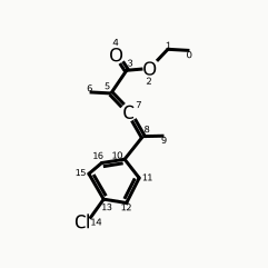 CCOC(=O)C(C)=C=C(C)c1ccc(Cl)cc1